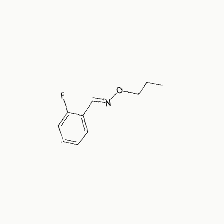 CCCON=Cc1cc[c]cc1F